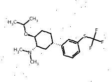 CC(C)O[C@H]1CC[C@H](c2cccc(SC(F)(F)F)c2)C[C@@H]1N(C)C